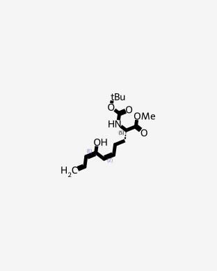 C=C/C=C(O)\C=C/CC[C@H](NC(=O)OC(C)(C)C)C(=O)OC